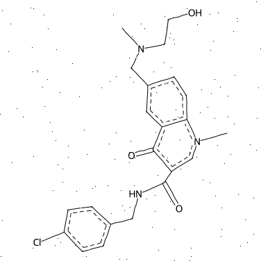 CN(CCO)Cc1ccc2c(c1)c(=O)c(C(=O)NCc1ccc(Cl)cc1)cn2C